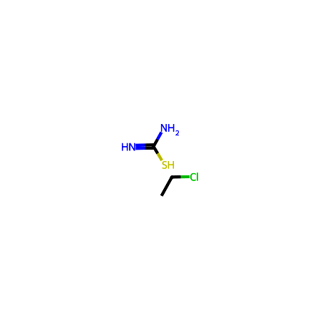 CCCl.N=C(N)S